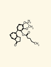 CCCCC(=O)Oc1c(-c2cccc3c2CCC3=O)ccc(OC)c1OC